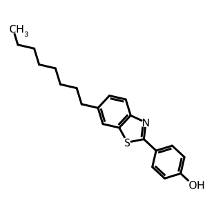 CCCCCCCCc1ccc2nc(-c3ccc(O)cc3)sc2c1